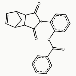 O=C(Oc1ccccc1N1C(=O)C2C3C=CC(C3)C2C1=O)c1ccccc1